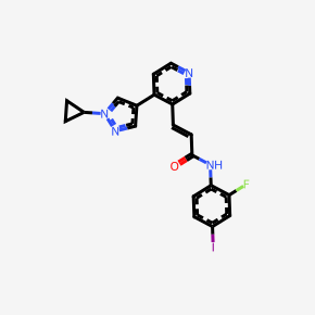 O=C(C=Cc1cnccc1-c1cnn(C2CC2)c1)Nc1ccc(I)cc1F